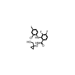 O=C(NOC1(CO)CC1)c1ccc(F)c(F)c1Nc1ccc(I)cc1Cl